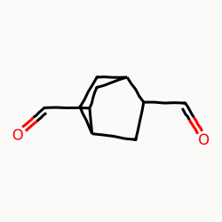 O=CC1CC2CCC1CC2C=O